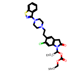 CCOC(=O)C(OC(=O)OCOC)N1C(=O)Cc2cc(CCN3CCN(c4nsc5ccccc45)CC3)c(Cl)cc21